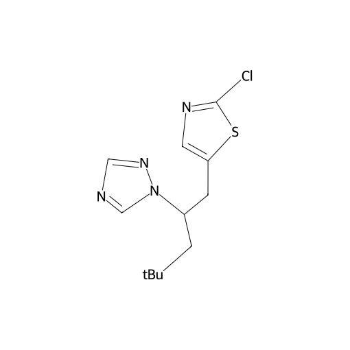 CC(C)(C)CC(Cc1cnc(Cl)s1)n1cncn1